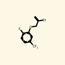 C=C(CC)COc1cc(C(F)(F)F)ccc1F